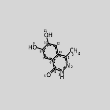 Cc1n[nH]c(=O)c2cc(O)c(O)cc12